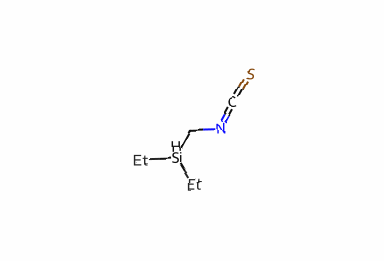 CC[SiH](CC)CN=C=S